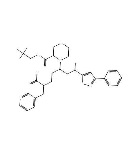 CC(CC(CCC(Cc1cccnc1)C(N)=O)N1CCNCC1C(=O)NCC(F)(F)F)c1cc(-c2ccccc2)no1